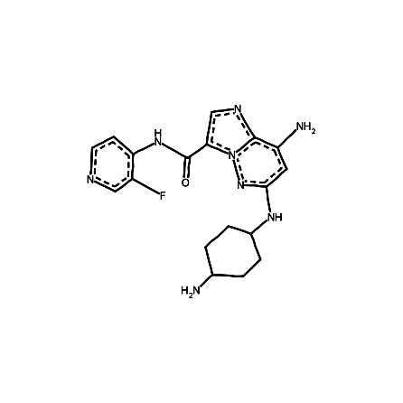 Nc1cc(NC2CCC(N)CC2)nn2c(C(=O)Nc3ccncc3F)cnc12